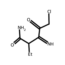 CCC(C(=N)C(=O)CCl)C(N)=O